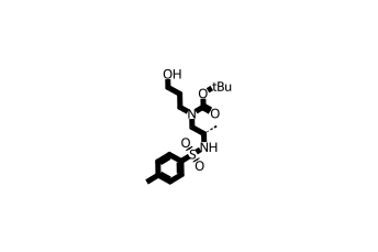 Cc1ccc(S(=O)(=O)N[C@@H](C)CN(CCCO)C(=O)OC(C)(C)C)cc1